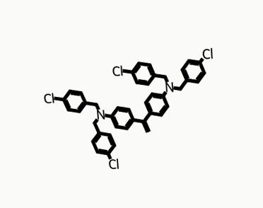 C=C(c1ccc(N(Cc2ccc(Cl)cc2)Cc2ccc(Cl)cc2)cc1)c1ccc(N(Cc2ccc(Cl)cc2)Cc2ccc(Cl)cc2)cc1